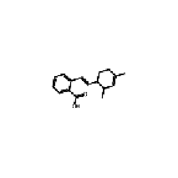 CC1=CC(C)C(C=Cc2ccccc2C(=O)O)CC1